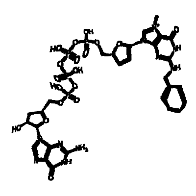 C[n+]1cn([C@H]2CC[C@@H](COP(=O)(O)OP(=O)(O)OP(=O)(O)OP(=O)(O)OC[C@@H]3C[C@H](O)[C@H](n4cnc5c(=O)[nH]c(N)nc54)O3)O2)c2nc(NCc3ccccc3)[nH]c(=O)c21